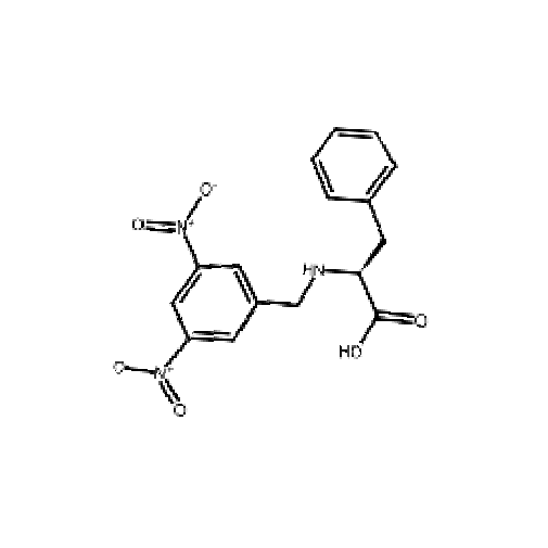 O=C(O)[C@H](Cc1ccccc1)NCc1cc([N+](=O)[O-])cc([N+](=O)[O-])c1